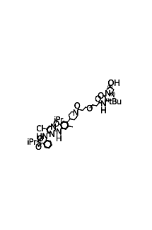 Cc1cc(Nc2ncc(Cl)c(Nc3ccccc3S(=O)(=O)C(C)C)n2)c(OC(C)C)cc1C1CCN(C(=O)CCOCCC(=O)N[C@H](C(=O)N2C[C@H](O)C[C@H]2C)C(C)(C)C)CC1